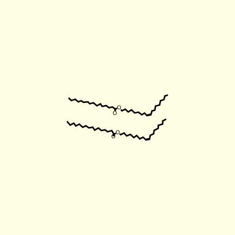 CCCCCCCC/C=C\CCCCCCCCOC(=O)CCCCCCCCCCCCCCC.CCCCCCCC/C=C\CCCCCCCCOC(=O)CCCCCCCCCCCCCCC